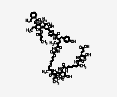 CCCC(=O)OCN(C(=O)[C@@H](NC(=O)[C@H]1CCCCN1C)C(C)CC)[C@H](C[C@@H](O)c1nc(C(=O)N[C@@H](Cc2ccc(O)cc2)C[C@H](C)C(=O)NNC(=O)OCCSSC[C@@H](C)NC(=O)[C@@H](NC(=O)[C@H](CC(=O)O)NC(=O)NCCCC[C@@H](C)NC(=O)N[C@@H](CCC(=O)O)C(=O)O)C(C)CC)cs1)C(C)C